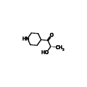 C[C@H](O)C(=O)C1CCNCC1